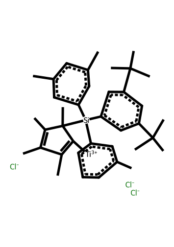 CC1=C(C)C(C)([Si](c2cccc(C)c2)(c2cc(C)cc(C)c2)c2cc(C(C)(C)C)cc(C(C)(C)C)c2)[C]([Ti+3])=C1C.[Cl-].[Cl-].[Cl-]